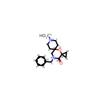 O=C(O)N1CCC2(CC1)CN(Cc1ccccc1)C(=O)C1(CC1)O2